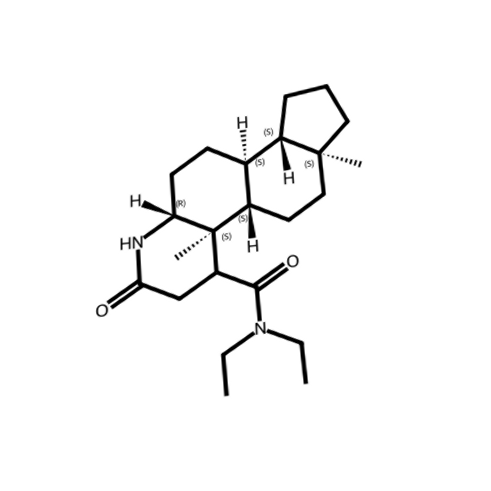 CCN(CC)C(=O)C1CC(=O)N[C@@H]2CC[C@H]3[C@@H]4CCC[C@@]4(C)CC[C@@H]3[C@@]12C